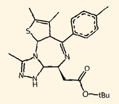 CC1=NNC2[C@H](CC(=O)OC(C)(C)C)N=C(c3ccc(C)cc3)C3C(C)=C(C)SC3N12